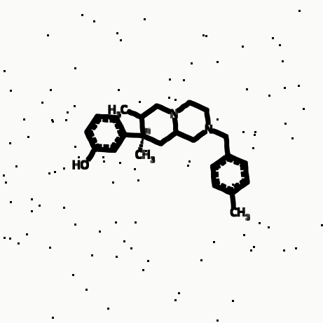 Cc1ccc(CN2CCN3CC(C)[C@](C)(c4cccc(O)c4)CC3C2)cc1